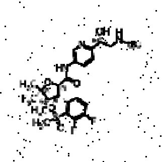 C[C@H]1[C@@H](c2ccc(F)c(F)c2S(C)(=O)=O)[C@H](C(=O)Nc2ccc([C@H](O)CNC(C)(C)C)nc2)O[C@@]1(C)C(F)(F)F